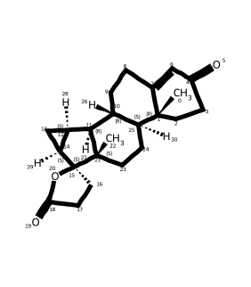 C[C@]12CCC(=O)C=C1CC[C@H]1[C@@H]3[C@@H]4C[C@@H]4[C@@]4(CCC(=O)O4)[C@@]3(C)CC[C@@H]12